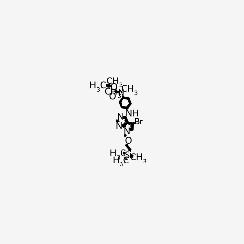 CN(C(=O)OC(C)(C)C)C1CCC(Nc2ncnc3c2c(Br)cn3COCC[Si](C)(C)C)CC1